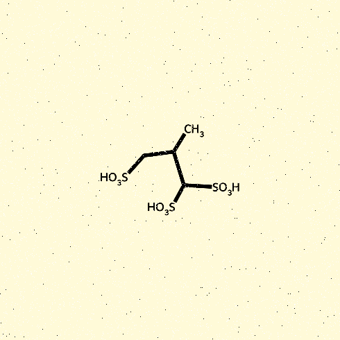 CC(CS(=O)(=O)O)C(S(=O)(=O)O)S(=O)(=O)O